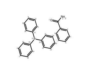 NC(=O)c1ccccc1.c1ccc(P(c2ccccc2)c2ccccc2)cc1